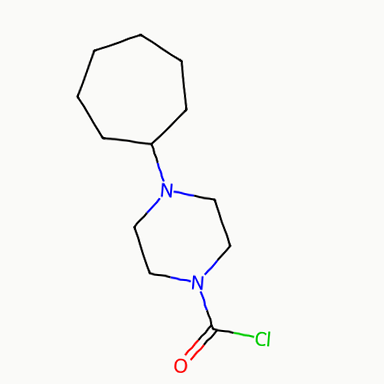 O=C(Cl)N1CCN(C2CCCCCC2)CC1